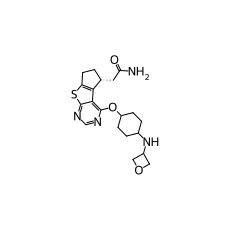 NC(=O)C[C@H]1CCc2sc3ncnc(OC4CCC(NC5COC5)CC4)c3c21